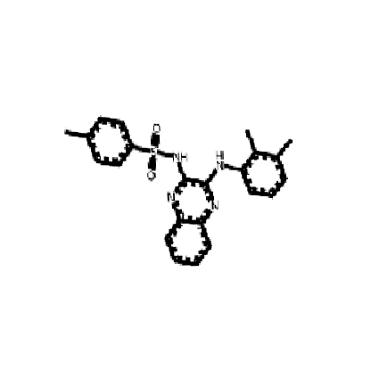 Cc1ccc(S(=O)(=O)Nc2nc3ccccc3nc2Nc2cccc(C)c2C)cc1